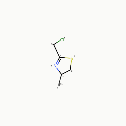 CC(C)C1CSC(CCl)=N1